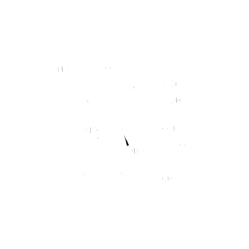 Br.CC(=O)O[C@]1(O)[C@@](O)(OC(C)=O)COC(O)[C@@]1(O)OC(C)=O